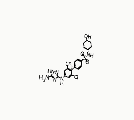 Nc1nc(Nc2cc(Cl)c(-c3ccc(S(=O)(=O)N[C@H]4CC[C@H](O)CC4)cc3)c(C(F)(F)F)c2)n[nH]1